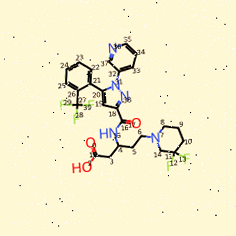 O=C(O)CC(CCN1CCCC(F)(F)C1)NC(=O)c1cc(-c2ccccc2C(F)(F)F)n(-c2cccnc2)n1